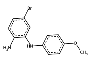 COc1ccc(Nc2cc(Br)ccc2N)cc1